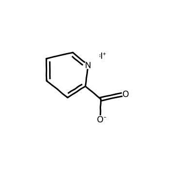 O=C([O-])c1ccccn1.[I+]